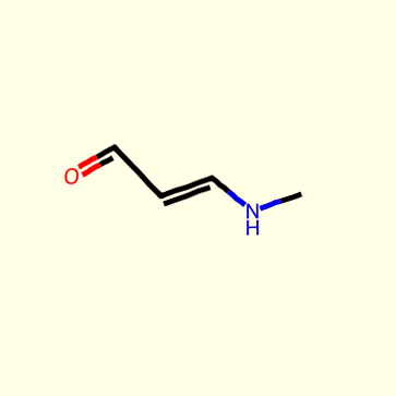 CNC=CC=O